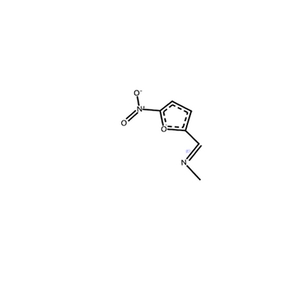 C/N=C/c1ccc([N+](=O)[O-])o1